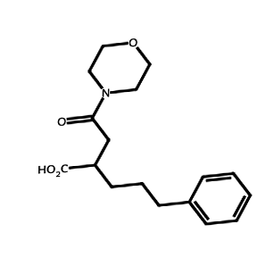 O=C(O)C(CCCc1ccccc1)CC(=O)N1CCOCC1